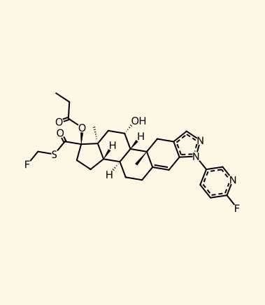 CCC(=O)O[C@]1(C(=O)SCF)CC[C@H]2[C@@H]3CCC4=Cc5c(cnn5-c5ccc(F)nc5)C[C@@]4(C)[C@H]3[C@@H](O)C[C@@]21C